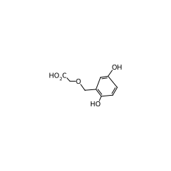 O=C(O)COCc1cc(O)ccc1O